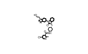 COCCn1nnc2cc(-n3c(=O)n(C[C@H]4CC[C@H](NC(=O)c5cc(Cl)cnc5C)CC4)c4ccccc43)ccc21